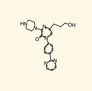 O=c1c(N2CCNCC2)nc(CCCO)cn1-c1ccc(-c2ncccn2)cc1